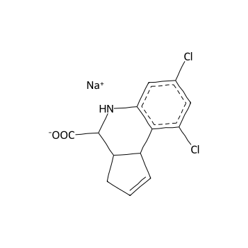 O=C([O-])C1Nc2cc(Cl)cc(Cl)c2C2C=CCC12.[Na+]